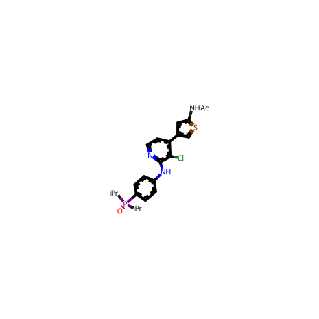 CC(=O)Nc1cc(-c2ccnc(Nc3ccc(P(=O)(C(C)C)C(C)C)cc3)c2Cl)cs1